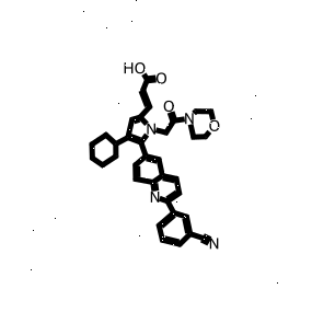 N#Cc1cccc(-c2ccc3cc(-c4c(C5CCCCC5)cc(C=CC(=O)O)n4CC(=O)N4CCOCC4)ccc3n2)c1